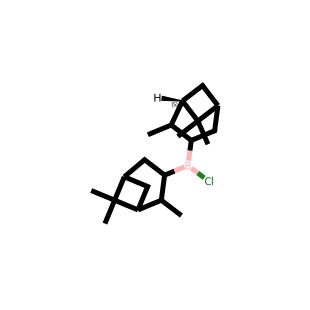 CC1C(B(Cl)C2CC3C[C@@H](C2C)C3(C)C)CC2CC1C2(C)C